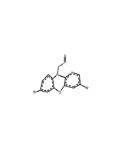 O=CCN1c2ccc(Br)cc2Oc2cc(Br)cnc21